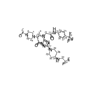 CC(=O)N1CCN(c2c(C)n(CC(=O)Nc3ccc(C(F)(F)F)cc3)c3nc(N4CCC(N(C)CC(F)F)CC4)nn3c2=O)CC1